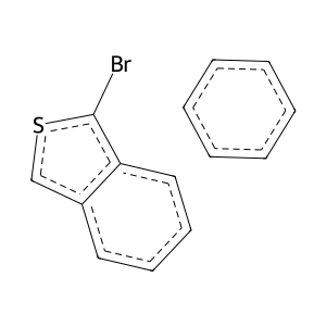 Brc1scc2ccccc12.c1ccccc1